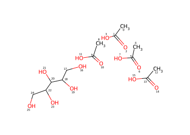 CC(=O)O.CC(=O)O.CC(=O)O.CC(=O)O.OCC(O)C(O)C(O)CO